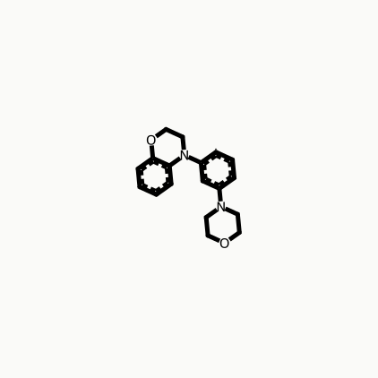 [c]1ccc(N2CCOCC2)cc1N1CCOc2ccccc21